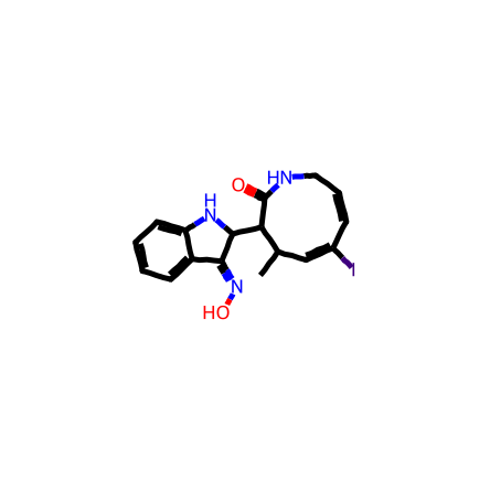 CC1/C=C(I)\C=C/CNC(=O)C1C1Nc2ccccc2/C1=N\O